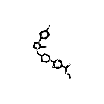 CCOC(=O)c1cnc(N2CCC(Cn3ccn(-c4ccc(F)cc4)c3=O)CC2)nc1